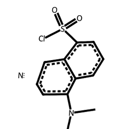 CN(C)c1cccc2c(S(=O)(=O)Cl)cccc12.[N]